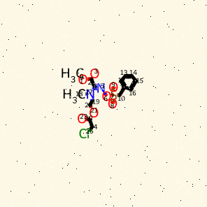 COC(=O)/C(=N/OS(=O)(=O)Cc1ccccc1)N(C)CCOC(=O)CCl